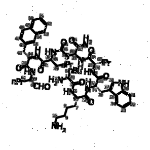 CCCC[C@H](N)C(=O)N[C@@H](CCCCN)C(=O)N[C@@H](Cc1c[nH]c2ccccc12)C(=O)N[C@H](C(=O)N[C@@H](SC(=O)N[C@@H](CC(C)C)C(=O)N[C@@H](Cc1ccc2ccccc2c1)C(=O)N[C@H](C=O)CCC)C(N)=O)C(C)C